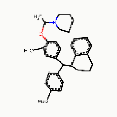 COc1ccc(C(c2ccc(OC(C)N3CCCCC3)c(C)c2)C2CCCc3ccccc32)cc1